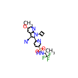 COc1cnc2c(c1)c(C#N)c(-c1ccc(S(=O)(=O)N[C@H](C)C(F)(F)F)cn1)n2C1=CC=C1